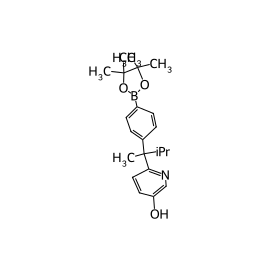 CC(C)C(C)(c1ccc(B2OC(C)(C)C(C)(C)O2)cc1)c1ccc(O)cn1